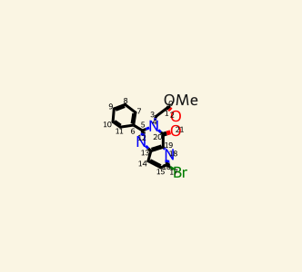 COC(=O)Cn1c(-c2ccccc2)nc2ccc(Br)nc2c1=O